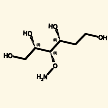 NO[C@@H]([C@H](O)CCO)[C@@H](O)CO